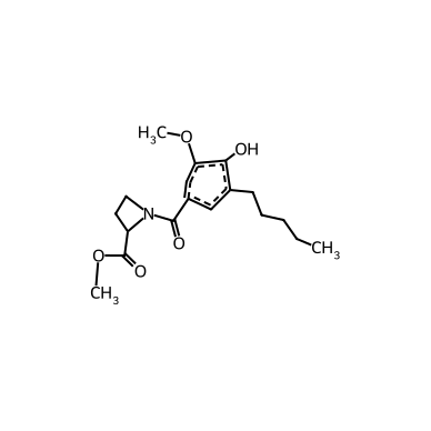 CCCCCc1cc(C(=O)N2CCC2C(=O)OC)cc(OC)c1O